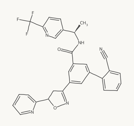 C[C@@H](NC(=O)c1cc(C2=NOC(c3ccccn3)C2)cc(-c2ccccc2C#N)c1)c1ccc(C(F)(F)F)nc1